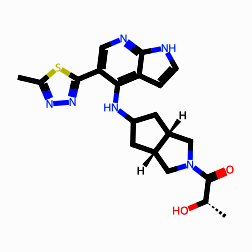 Cc1nnc(-c2cnc3[nH]ccc3c2NC2C[C@@H]3CN(C(=O)[C@H](C)O)C[C@@H]3C2)s1